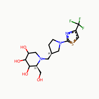 OC[C@H]1C(O)C(O)C(O)CN1C[C@H]1CCN(c2nc(C(F)(F)F)cs2)C1